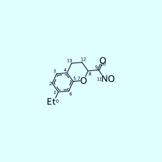 CCc1ccc2c(c1)OC(C(=O)N=O)CC2